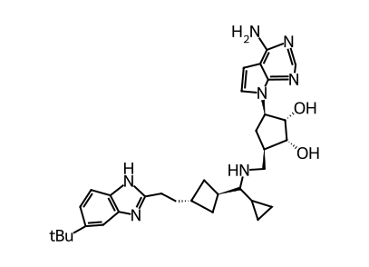 CC(C)(C)c1ccc2[nH]c(CC[C@H]3C[C@H](C(NC[C@H]4C[C@@H](n5ccc6c(N)ncnc65)[C@H](O)[C@@H]4O)C4CC4)C3)nc2c1